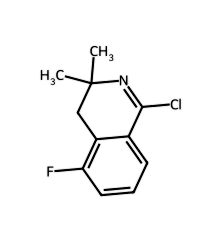 CC1(C)Cc2c(F)cccc2C(Cl)=N1